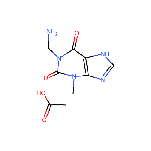 CC(=O)O.Cn1c(=O)n(CN)c(=O)c2[nH]cnc21